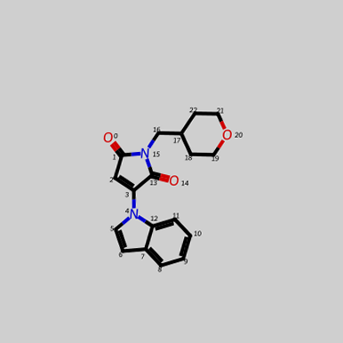 O=C1C=C(n2ccc3ccccc32)C(=O)N1CC1CCOCC1